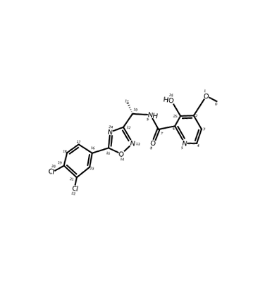 COc1ccnc(C(=O)N[C@@H](C)c2noc(-c3ccc(Cl)c(Cl)c3)n2)c1O